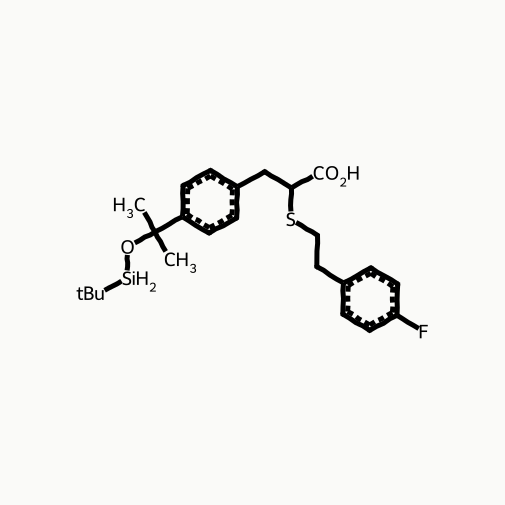 CC(C)(C)[SiH2]OC(C)(C)c1ccc(CC(SCCc2ccc(F)cc2)C(=O)O)cc1